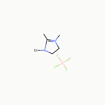 CCN1CC[N+](C)=C1C.F[B-](F)(F)F